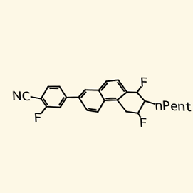 CCCCCC1C(F)Cc2c(ccc3cc(-c4ccc(C#N)c(F)c4)ccc23)C1F